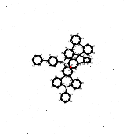 c1ccc(-c2ccc(N(c3ccc4c(c3)-c3ccccc3N(c3ccccc3)c3ccccc3-4)c3ccc4c(c3)C3(c5ccccc5-c5ccccc5-4)c4ccccc4-c4ccccc43)cc2)cc1